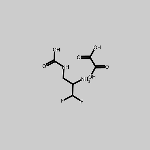 NC(CNC(=O)O)C(F)F.O=C(O)C(=O)O